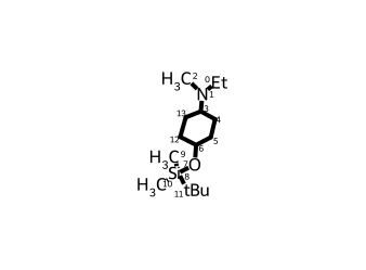 CCN(C)C1CCC(O[Si](C)(C)C(C)(C)C)CC1